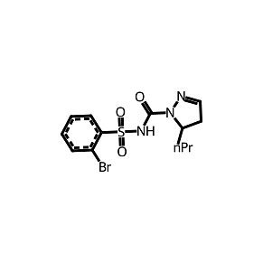 CCCC1CC=NN1C(=O)NS(=O)(=O)c1ccccc1Br